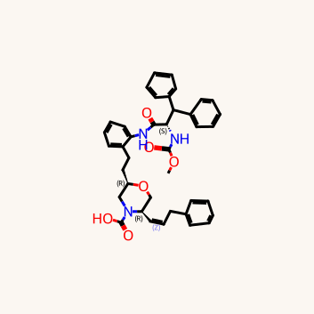 COC(=O)N[C@H](C(=O)Nc1ccccc1CC[C@@H]1CN(C(=O)O)[C@H](/C=C\Cc2ccccc2)CO1)C(c1ccccc1)c1ccccc1